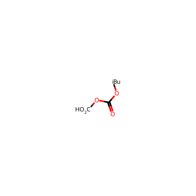 CCC(C)OC(=O)OC(=O)O